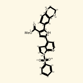 COC(=O)c1cc(-c2ccnc3c2ccn3S(=O)(=O)c2ccccc2)[nH]c1-c1ccc2c(c1)OCCO2